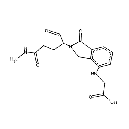 CNC(=O)CCC(C=O)N1Cc2c(NCC(=O)O)cccc2C1=O